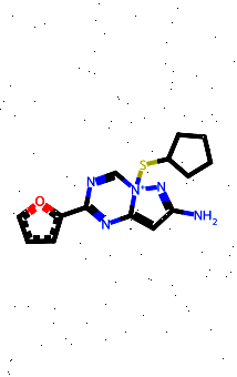 NC1=N[N+]2(SC3CCCC3)C=NC(c3ccco3)=NC2=C1